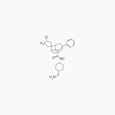 CCC1(CCCl)C2CC3(C(=O)N[C@H]4CC[C@H](CN)CC4)CC1CC(c1ccccc1)(C2)C3